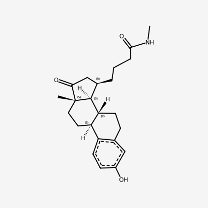 CNC(=O)CCC[C@@H]1CC(=O)[C@@]2(C)CC[C@@H]3c4ccc(O)cc4CC[C@H]3[C@H]12